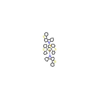 c1ccc2c(c1)Sc1ccccc1C21c2cc(-n3c4ccccc4c4c5c(ccc43)sc3ccccc35)sc2C2(c3ccccc3Sc3ccccc32)c2cc(-n3c4ccccc4c4c5c(ccc43)sc3ccccc35)sc21